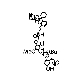 COc1cc(OCC(=O)NCCCc2cccc(C3(C(=O)O[C@H]4CN5CCC4CC5)CCCCC3)c2)c(Cl)cc1CNC[C@H](O[Si](C)(C)C(C)(C)C)c1ccc(O)c2[nH]c(=O)ccc12